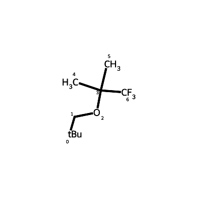 CC(C)(C)COC(C)(C)C(F)(F)F